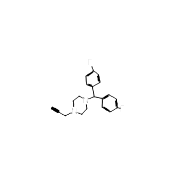 C#CCN1CCN(C(c2ccc(F)cc2)c2ccc(F)cc2)CC1